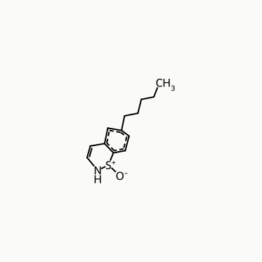 CCCCCc1ccc2c(c1)C=CN[S+]2[O-]